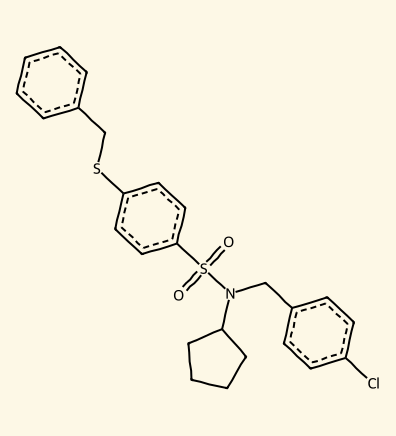 O=S(=O)(c1ccc(SCc2ccccc2)cc1)N(Cc1ccc(Cl)cc1)C1CCCC1